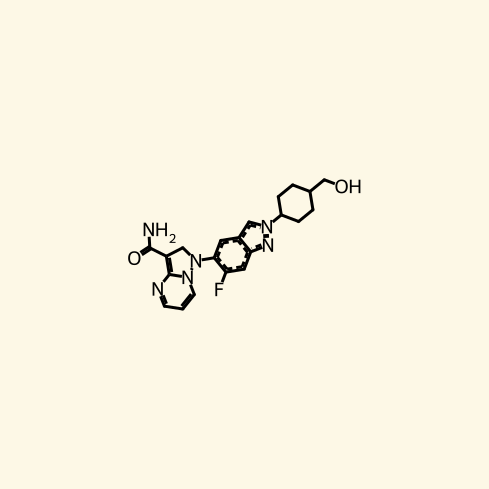 NC(=O)C1=C2N=CC=CN2N(c2cc3cn(C4CCC(CO)CC4)nc3cc2F)C1